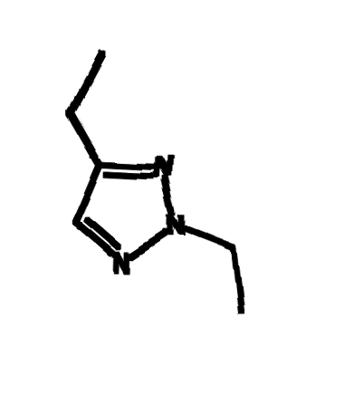 CCc1cnn(CC)n1